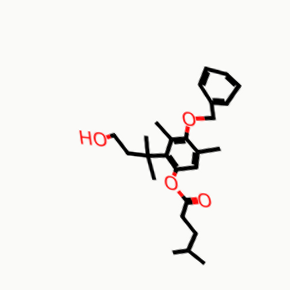 Cc1cc(OC(=O)CCC(C)C)c(C(C)(C)CCO)c(C)c1OCc1ccccc1